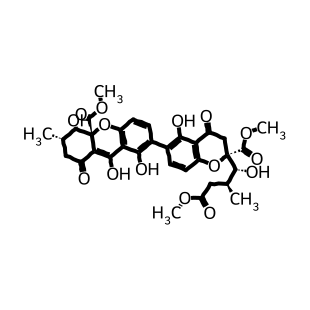 COC(=O)C[C@H](C)[C@@H](O)[C@]1(C(=O)OC)CC(=O)c2c(ccc(-c3ccc4c(c3O)C(O)=C3C(=O)C[C@H](C)[C@@H](O)[C@]3(C(=O)OC)O4)c2O)O1